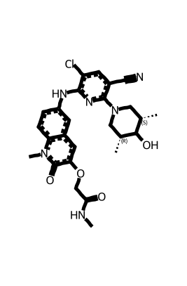 CNC(=O)COc1cc2cc(Nc3nc(N4C[C@@H](C)C(O)[C@@H](C)C4)c(C#N)cc3Cl)ccc2n(C)c1=O